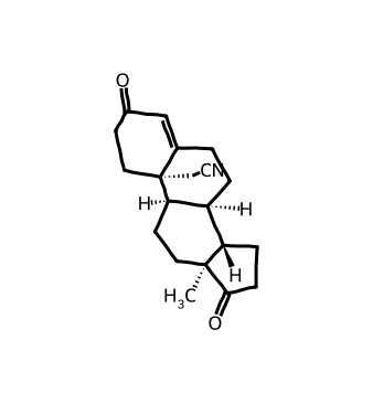 C[C@]12CC[C@@H]3[C@@H](CCC4=CC(=O)CC[C@@]43CC#N)[C@@H]1CCC2=O